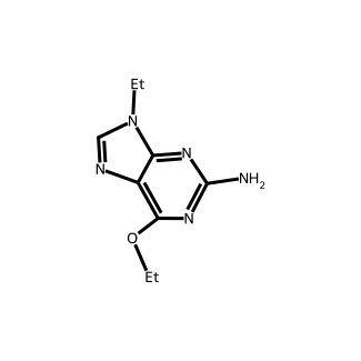 CCOc1nc(N)nc2c1ncn2CC